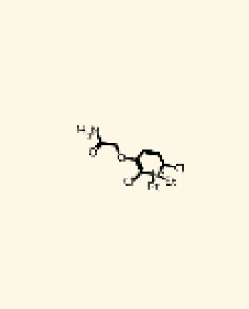 CC[N+]1(CC)C(Cl)=C(OCC(N)=O)C=CC1Cl